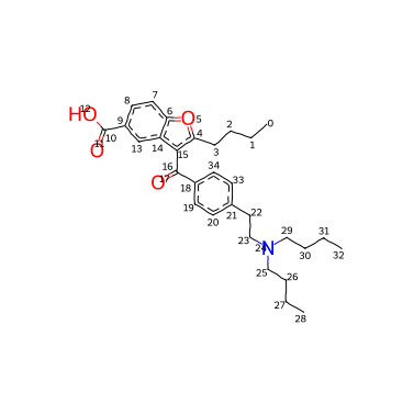 CCCCc1oc2ccc(C(=O)O)cc2c1C(=O)c1ccc(CCN(CCCC)CCCC)cc1